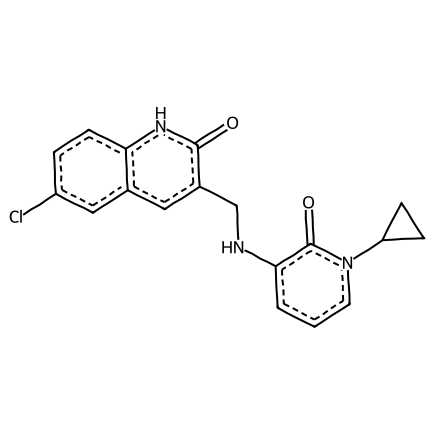 O=c1[nH]c2ccc(Cl)cc2cc1CNc1cccn(C2CC2)c1=O